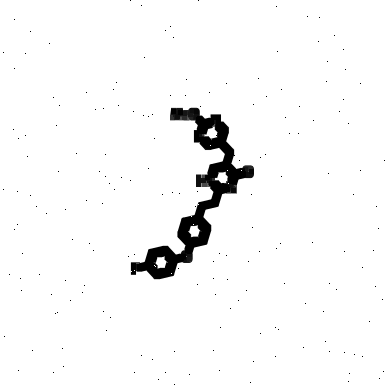 COc1ncc(Cc2c[nH]c(CCc3ccc(Oc4ccc(F)cc4)cc3)nc2=O)cn1